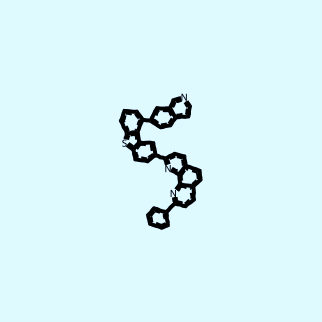 c1ccc(-c2ccc3ccc4ccc(-c5ccc6sc7cccc(-c8ccc9ccncc9c8)c7c6c5)nc4c3n2)cc1